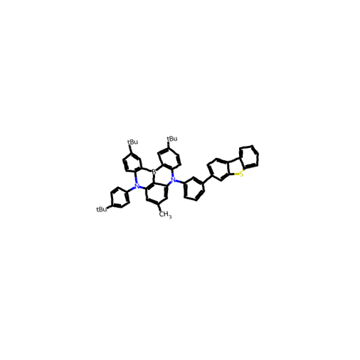 Cc1cc2c3c(c1)N(c1cccc(-c4ccc5c(c4)sc4ccccc45)c1)c1ccc(C(C)(C)C)cc1B3c1cc(C(C)(C)C)ccc1N2c1ccc(C(C)(C)C)cc1